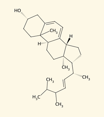 CC(C)C(C)/C=C/[C@@H](C)[C@H]1CC[C@H]2C3=CC=C4C[C@@H](O)CCC4(C)[C@@H]3CC[C@]12C